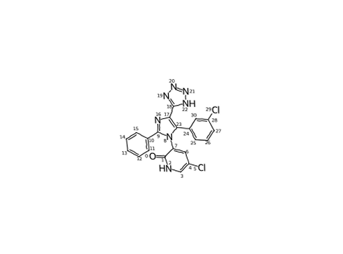 O=c1[nH]cc(Cl)cc1-n1c(-c2ccccc2)nc(-c2nnn[nH]2)c1-c1cccc(Cl)c1